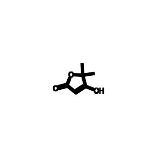 CC1(C)OC(=O)C=C1O